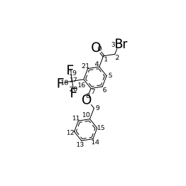 O=C(CBr)c1ccc(OCc2ccccc2)c(C(F)(F)F)c1